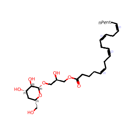 CCCCC/C=C\C/C=C\C/C=C\C/C=C\CCCC(=O)OCC(O)CO[C@@H]1O[C@H](CO)C[C@H](O)[C@H]1O